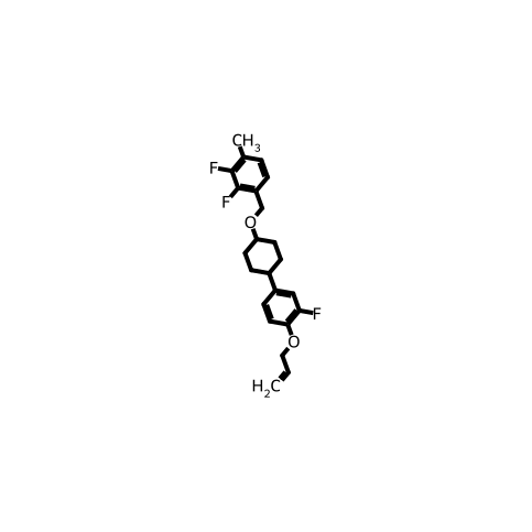 C=CCOc1ccc(C2CCC(OCc3ccc(C)c(F)c3F)CC2)cc1F